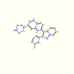 Cc1cccc(-c2nc3ccccn3c2-c2ccc3ncc(N4CCNCC4)cc3n2)n1